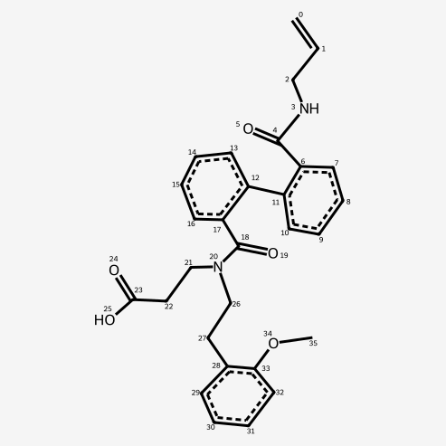 C=CCNC(=O)c1ccccc1-c1ccccc1C(=O)N(CCC(=O)O)CCc1ccccc1OC